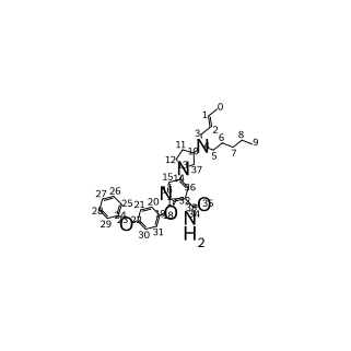 C/C=C/CN(CCCCC)C1CCN(c2cnc(Oc3ccc(Oc4ccccc4)cc3)c(C(N)=O)c2)C1